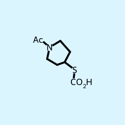 CC(=O)N1CCC(SC(=O)O)CC1